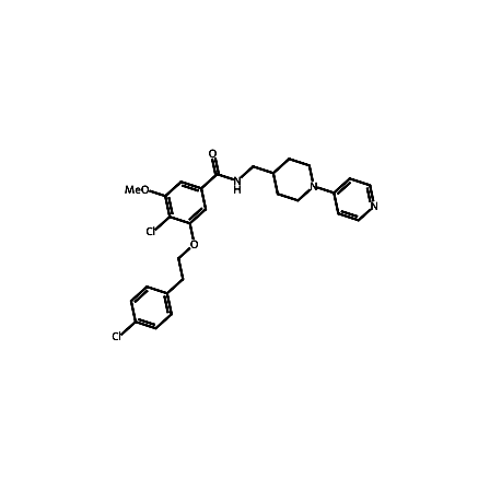 COc1cc(C(=O)NCC2CCN(c3ccncc3)CC2)cc(OCCc2ccc(Cl)cc2)c1Cl